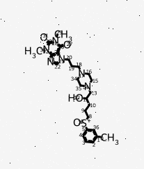 Cc1cccc([S+]([O-])CCCC(O)CN2CCN(CCCn3cnc4c3c(=O)n(C)c(=O)n4C)CC2)c1